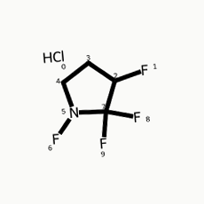 Cl.FC1CCN(F)C1(F)F